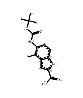 Cc1c(NC(=O)OC(C)(C)C)ccc2[nH]c(C(=O)O)cc12